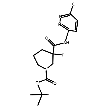 CC(C)(C)OC(=O)N1CCCC(F)(C(=O)Nc2ccc(Cl)nn2)C1